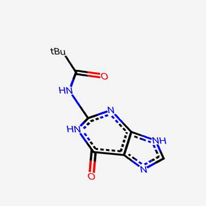 CC(C)(C)C(=O)Nc1nc2[nH]cnc2c(=O)[nH]1